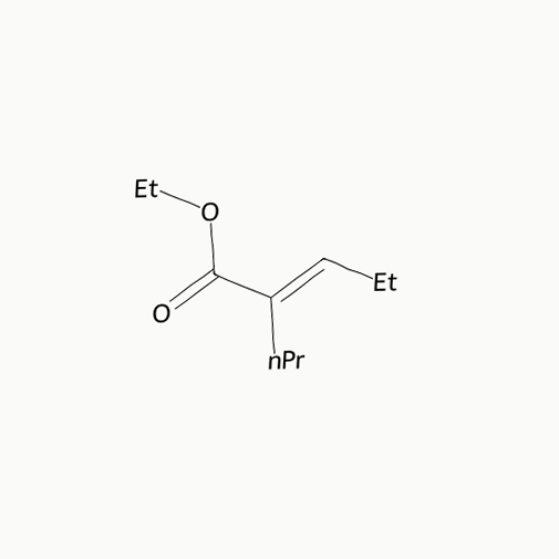 [CH2]COC(=O)C(=CCC)CCC